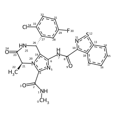 CNC(=O)c1nc(NC(=O)c2nsc3ccccc23)c2n1[C@@H](C)C(=O)N[C@@H]2c1cc(F)ccc1Cl